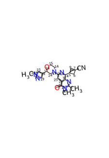 Cc1nc2c(C34CC(C#N)(C3)C4)nc(N3CCO[C@H](c4cnn(C)c4)C3)cc2c(=O)n1C